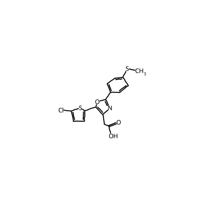 CSc1ccc(-c2nc(CC(=O)O)c(-c3ccc(Cl)s3)o2)cc1